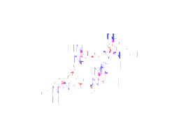 C=N/C(=C\C=C/C)NC(=O)CN(CCO)C(=S)SCC(=O)OCCN(CC(=O)NCc1ccccc1)C(=S)SCC(=O)OCCN(CC(=O)NC1CCCCC1)C(=S)SCC(=O)OCCN(CC(=O)NCCCC)C(=S)SCC(=O)N(CC)CC